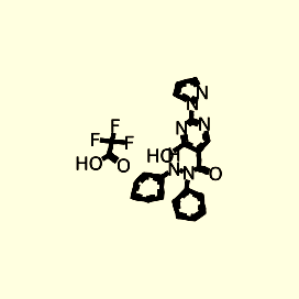 O=C(O)C(F)(F)F.O=C(c1cnc(-n2cccn2)nc1O)N(Nc1ccccc1)c1ccccc1